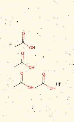 CC(=O)O.CC(=O)O.CC(=O)O.CC(=O)O.[Hf]